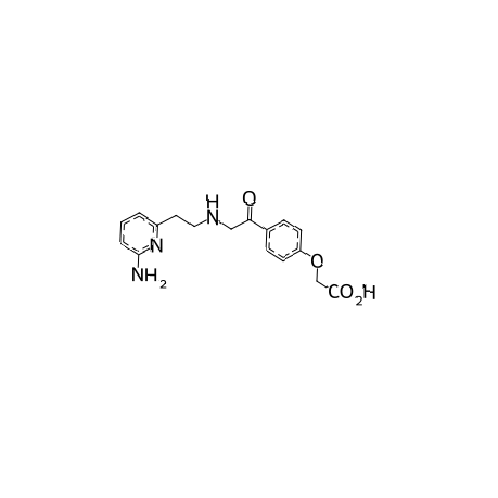 Nc1cccc(CCNCC(=O)c2ccc(OCC(=O)O)cc2)n1